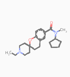 CCN1CCC2(CCc3cc(C(=O)N(C)C4CCCC4)ccc3O2)CC1